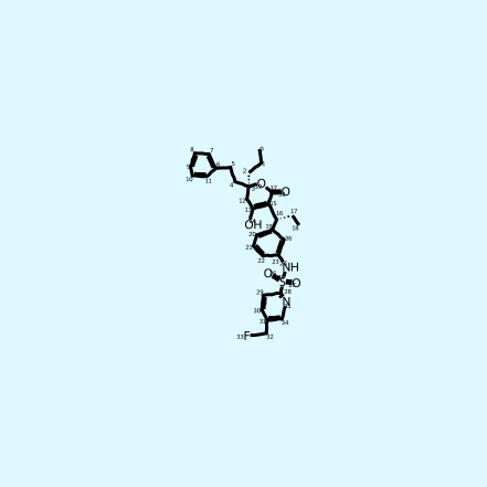 CCC[C@@]1(CCc2ccccc2)CC(O)=C([C@H](CC)c2cccc(NS(=O)(=O)c3ccc(CF)cn3)c2)C(=O)O1